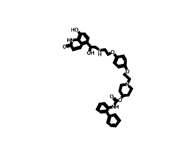 O=C(Nc1ccccc1-c1ccccc1)OC1CCN(CCOc2ccc(OCCNCC(O)c3ccc(O)c4[nH]c(=O)ccc34)cc2)CC1